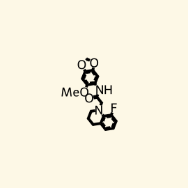 COc1cc2c(cc1NC(=O)CN1CCCc3cccc(F)c31)OCO2